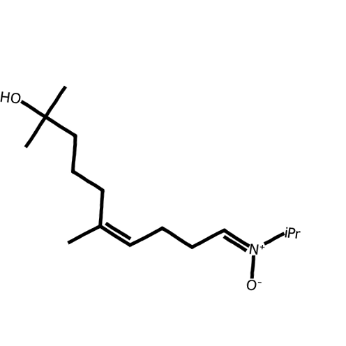 CC(=CCCC=[N+]([O-])C(C)C)CCCC(C)(C)O